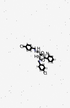 O=C(N=C(N/N=C/c1ccc(Cl)cc1)N/N=C/c1ccc(Cl)cc1)c1ccccc1[N+](=O)[O-]